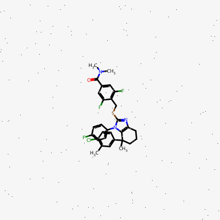 Cc1cc(C2(C)CCCc3nc(SCc4c(F)cc(C(=O)N(C)C)cc4F)n(-c4ccc(F)cc4)c32)ccc1Cl